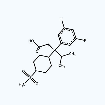 CC(C)[C@@](CC(=O)O)(c1cc(F)cc(F)c1)C1CCN(S(C)(=O)=O)CC1